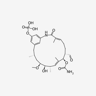 CO[C@H]1C[C@H](C)Cc2cc(cc(OP(=O)(O)O)c2)NC(=O)/C(C)=C/CC[C@H](C=O)[C@@H](OC(N)=O)/C(C)=C/[C@H](C)[C@H]1O